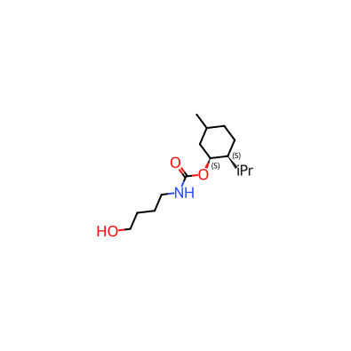 CC1CC[C@@H](C(C)C)[C@@H](OC(=O)NCCCCO)C1